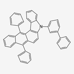 c1ccc(-c2cccc(-n3c4ccccc4c4c5c(-c6ccccc6)c6ccccc6c(-c6ccccc6)c5ccc43)c2)cc1